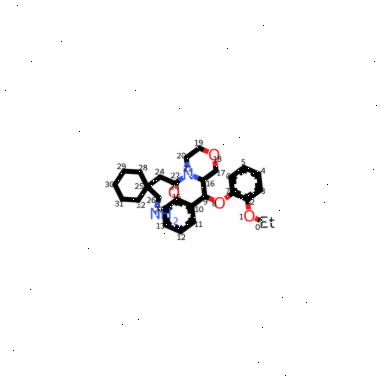 CCOc1ccccc1OC(c1ccccc1)C1COCCN1C(=O)CC1(CN)CCCCC1